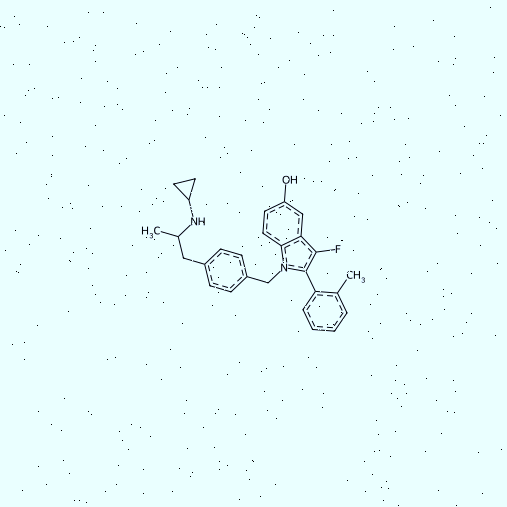 Cc1ccccc1-c1c(F)c2cc(O)ccc2n1Cc1ccc(CC(C)NC2CC2)cc1